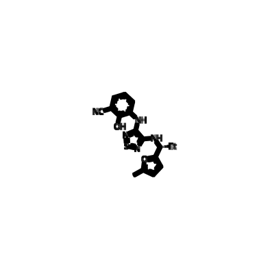 CC[C@@H](Nc1nsnc1Nc1cccc(C#N)c1O)c1ccc(C)o1